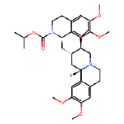 CC[C@H]1CN2CCc3cc(OC)c(OC)cc3[C@@H]2C[C@@H]1C[C@@H]1c2cc(OC)c(OC)cc2CCN1C(=O)OC(C)C